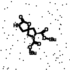 CC(C)(C)OC(=O)[C@@H]1CC2(CNC(=O)O2)CN1C(=O)OC(C)(C)C